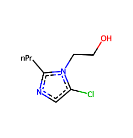 CCCc1ncc(Cl)n1CCO